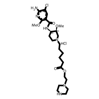 COc1nc(N)c(Cl)cc1C(=O)N[C@@H]1CCN(CCCCCC(=O)OCCN2CCNCC2)C[C@@H]1OC.Cl